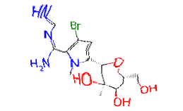 Cn1c([C@@H]2O[C@H](CO)[C@@H](O)[C@@]2(C)O)cc(Br)c1/C(N)=N\C=N